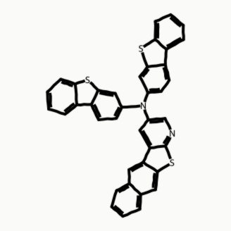 c1ccc2cc3c(cc2c1)sc1ncc(N(c2ccc4c(c2)sc2ccccc24)c2ccc4c(c2)sc2ccccc24)cc13